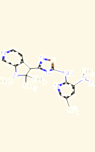 CC(=O)N(C)c1cc(C(F)(F)F)cnc1Nc1nc(C2c3ccncc3N(C)C2(C)C)ns1